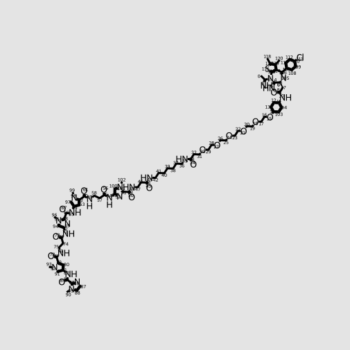 CC(=N)N1C(=N)[C@H](CC(=O)Nc2ccc(OCCOCCOCCOCCOCCOCCC(=O)NCCCCCCCNC(=O)CCNC(=O)c3nc(NC(=O)CCNC(=O)c4cc(NC(=O)c5nc(NC(=O)CCNC(=O)c6cc(NC(=O)c7nccn7C)cn6C)cn5C)cn4C)cn3C)cc2)N=C(c2ccc(Cl)cc2)c2c1sc(C)c2C